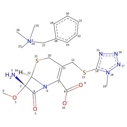 CO[C@@]1(N)C(=O)N2C(C(=O)[O-])=C(CSc3nnnn3C)CS[C@@H]21.C[N+](C)(C)Cc1ccccc1